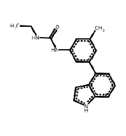 CCNC(=O)Nc1cc(C)cc(-c2cccc3[nH]ccc23)c1